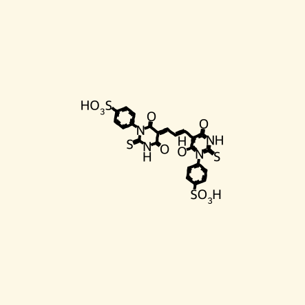 O=C1NC(=S)N(c2ccc(S(=O)(=O)O)cc2)C(=O)C1=CC=Cc1c(O)n(-c2ccc(S(=O)(=O)O)cc2)c(=S)[nH]c1=O